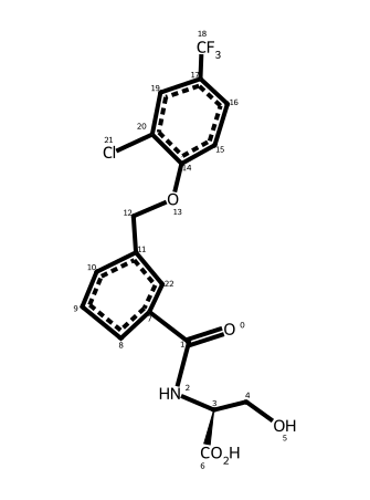 O=C(N[C@@H](CO)C(=O)O)c1cccc(COc2ccc(C(F)(F)F)cc2Cl)c1